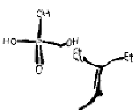 CC=C(CC)CC.O=P(O)(O)O